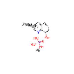 O=P(O)(O)O.Oc1cccc2cccnc12.[Ag].[AlH3].[MgH2].[Zn]